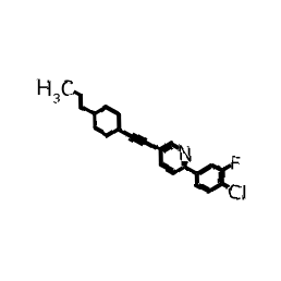 CCCC1CCC(C#Cc2ccc(-c3ccc(Cl)c(F)c3)nc2)CC1